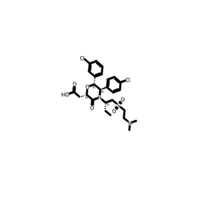 CC[C@@H](CS(=O)(=O)CCN(C)C)N1C(=O)[C@H](CC(=O)O)O[C@H](c2cccc(Cl)c2)[C@H]1c1ccc(Cl)cc1